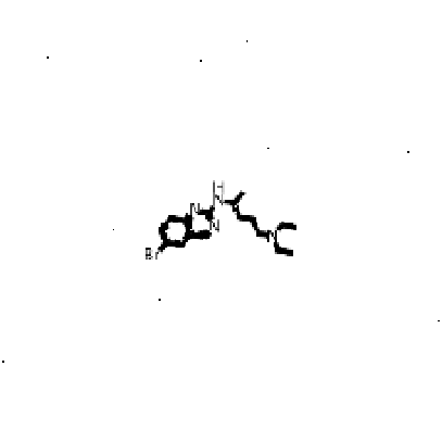 CCN(CC)CCCC(C)Nc1ncc2cc(Br)ccc2n1